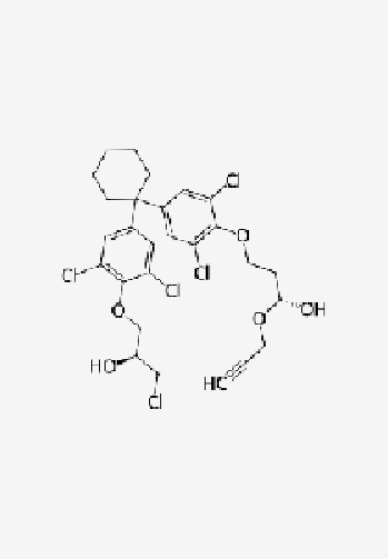 C#CCO[C@@H](O)CCOc1c(Cl)cc(C2(c3cc(Cl)c(OC[C@H](O)CCl)c(Cl)c3)CCCCC2)cc1Cl